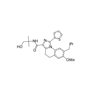 COc1cc2c(cc1CC(C)C)-n1c(-c3cccs3)nc(C(=O)NC(C)(C)CO)c1CC2